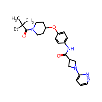 CCC(C)(C)C(=O)N1CCC(Oc2ccc(NC(=O)C3CN(c4cccnn4)C3)cc2)CC1